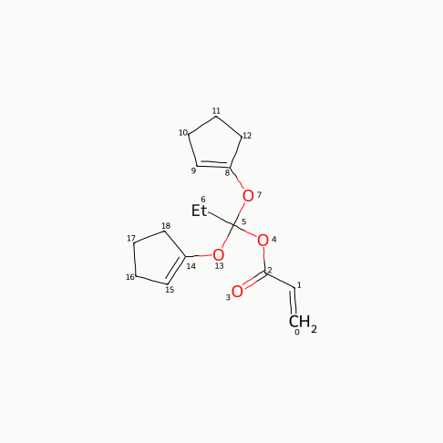 C=CC(=O)OC(CC)(OC1=CCCC1)OC1=CCCC1